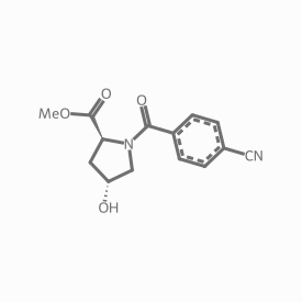 COC(=O)[C@@H]1C[C@@H](O)CN1C(=O)c1ccc(C#N)cc1